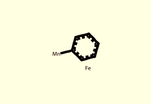 [Fe].[Mn][c]1ccccc1